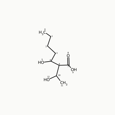 CCCCC(O)C(C(=O)O)C(C)O